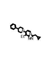 CCc1c(N2CCC(c3ccccc3)CC2)ccn2c(CC3CC3)nnc12